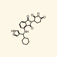 O=C1CCC(N2C(=O)c3cccc(NC(c4cn[nH]c4)C4CCCCC4)c3C2=O)C(=O)N1